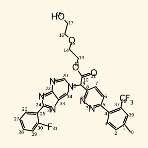 Cc1ccc(-c2ccc(C(C(=O)OCCOCCO)n3cnc4nc(-c5ccccc5F)nc-4c3)nn2)c(C(F)(F)F)c1